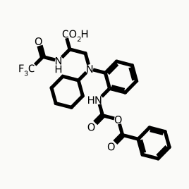 O=C(Nc1ccccc1N(CC(NC(=O)C(F)(F)F)C(=O)O)C1CCCCC1)OC(=O)c1ccccc1